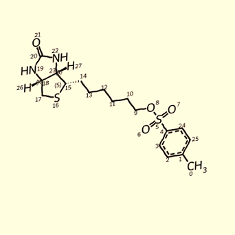 Cc1ccc(S(=O)(=O)OCCCCCC[C@@H]2SC[C@@H]3NC(=O)N[C@@H]32)cc1